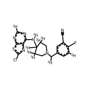 [2H]c1nc(N([2H])C2([2H])C([2H])([2H])CN(C([2H])c3cc([2H])c(F)c(C#N)c3)CC2([2H])[2H])c2nc(Cl)sc2n1